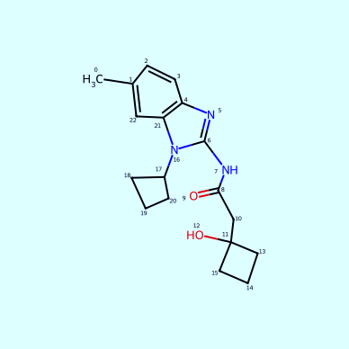 Cc1ccc2nc(NC(=O)CC3(O)CCC3)n(C3CCC3)c2c1